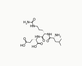 CC(C)C[C@@H](N)C(=O)N[C@@H](CCCNC(N)=O)C(=O)N[C@@H](CCC(=O)O)C(=O)O